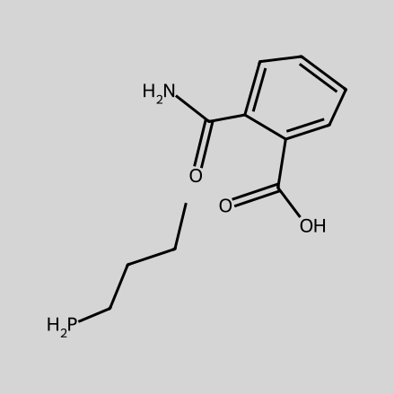 CCCCP.NC(=O)c1ccccc1C(=O)O